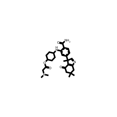 CN(C)CC(=O)OC1CCC(Nc2cc(C3(C)C=NC4=C3C(=O)CC(C)(C)C4)ccc2C(N)=O)CC1